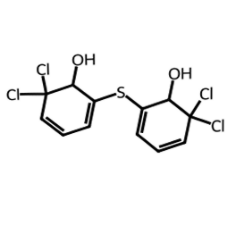 OC1C(SC2=CC=CC(Cl)(Cl)C2O)=CC=CC1(Cl)Cl